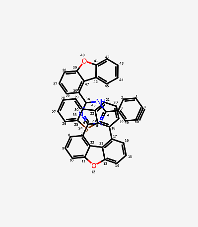 c1ccc(C2=NC(c3cccc4oc5cccc(-c6cccc7c6sc6ccccc67)c5c34)=NC(c3cccc4oc5ccccc5c34)N2)cc#1